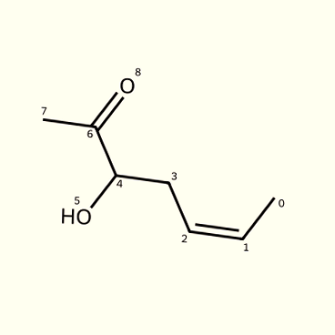 C/C=C\CC(O)C(C)=O